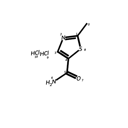 Cc1ncc(C(N)=O)s1.Cl.Cl